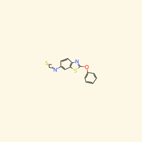 S=C=Nc1ccc2nc(Oc3ccccc3)sc2c1